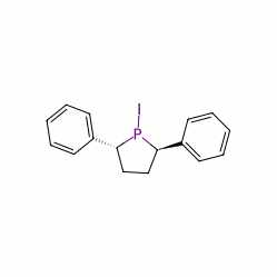 IP1[C@@H](c2ccccc2)CC[C@@H]1c1ccccc1